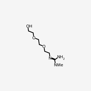 CNC(N)=NCCOCCOCCO